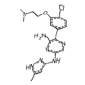 Cc1cc(Nc2cnc(-c3ccc(Cl)c(OCCN(C)C)c3)c(N)n2)n[nH]1